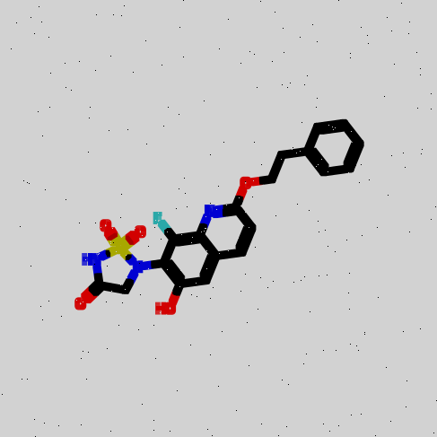 O=C1CN(c2c(O)cc3ccc(OCCc4ccccc4)nc3c2F)S(=O)(=O)N1